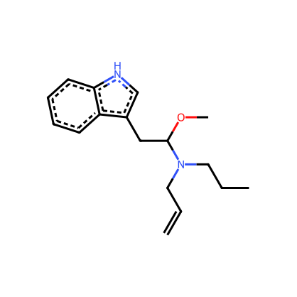 C=CCN(CCC)C(Cc1c[nH]c2ccccc12)OC